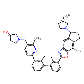 COc1nc(-c2cccc(-c3cccc(-c4nc5cc6c(c(C#N)c5o4)CCC6N4CC[C@@H](C(=O)O)C4)c3C)c2C)ccc1CN1CC[C@@H](O)C1